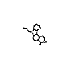 C=C1NC=Cc2c1ccc1c2c2ncccc2n1CCC